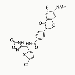 CNc1cc2c(cc1F)C(=O)N(c1ccc(C(=O)NC(c3noc(=O)[nH]3)c3ccc(Cl)s3)cc1)CO2